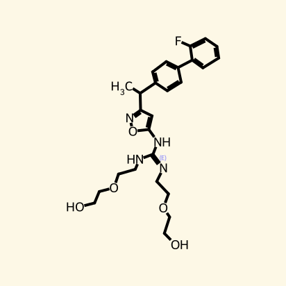 CC(c1ccc(-c2ccccc2F)cc1)c1cc(N/C(=N/CCOCCO)NCCOCCO)on1